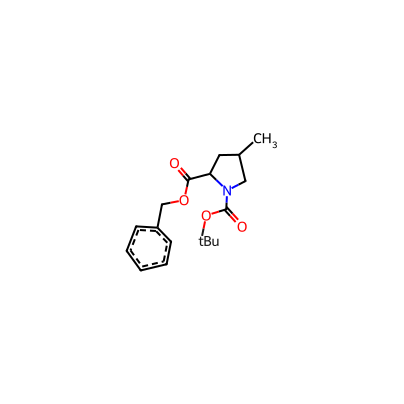 CC1CC(C(=O)OCc2ccccc2)N(C(=O)OC(C)(C)C)C1